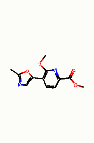 COC(=O)c1ccc(-c2cnc(C)o2)c(OC)n1